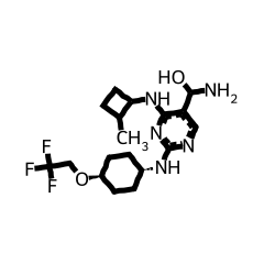 CC1CCC1Nc1nc(N[C@H]2CC[C@H](OCC(F)(F)F)CC2)ncc1C(N)O